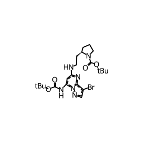 CC(C)(C)OC(=O)Nc1cc(NCC[C@H]2CCCN2C(=O)OC(C)(C)C)nc2c(Br)cnn12